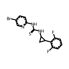 Fc1cccc(F)c1C1CC1NC(=S)Nc1ccc(Br)cn1